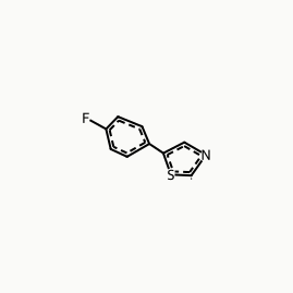 Fc1ccc(-c2cn[c]s2)cc1